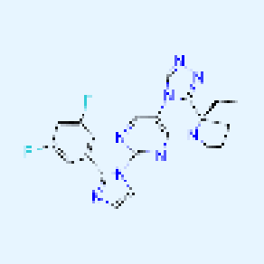 CC[C@@]12CCCN1c1nc(-n3ccnc3-c3cc(F)cc(F)c3)ncc1-n1cnnc12